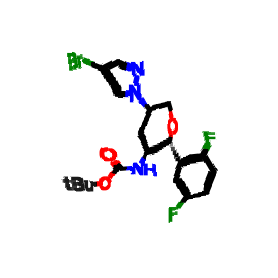 CC(C)(C)OC(=O)N[C@H]1C[C@@H](n2cc(Br)cn2)CO[C@@H]1c1cc(F)ccc1F